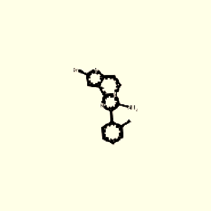 Cc1ccccc1-c1nc2c3cc(Br)sc3ccn2c1N